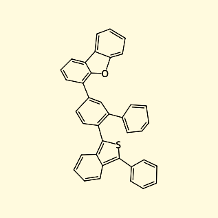 c1ccc(-c2cc(-c3cccc4c3oc3ccccc34)ccc2-c2sc(-c3ccccc3)c3ccccc23)cc1